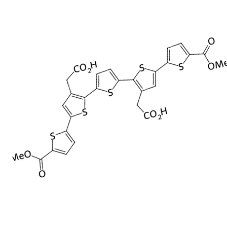 COC(=O)c1ccc(-c2cc(CC(=O)O)c(-c3ccc(-c4sc(-c5ccc(C(=O)OC)s5)cc4CC(=O)O)s3)s2)s1